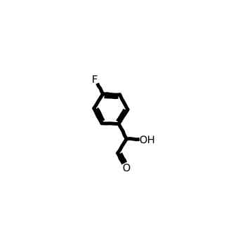 O=CC(O)c1ccc(F)cc1